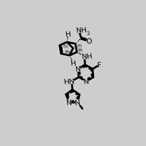 Cn1cc(Nc2ncc(F)c(N[C@H]3[C@@H](C(N)=O)[C@@H]4C=C[C@H]3C4)n2)cn1